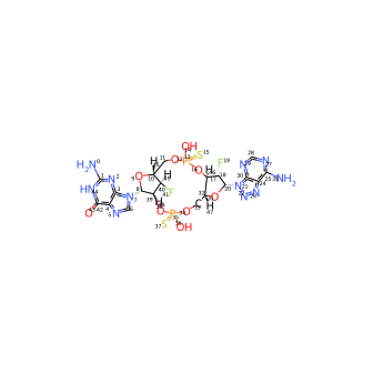 Nc1nc2c(ncn2[C@@H]2O[C@@H]3COP(O)(=S)O[C@H]4[C@H](F)[C@H](n5nnc6c(N)ncnc65)O[C@@H]4COP(O)(=S)O[C@@H]2[C@@H]3F)c(=O)[nH]1